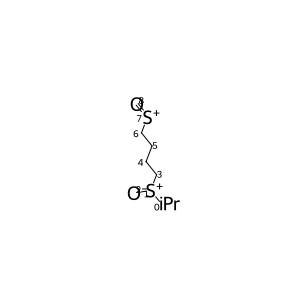 CC(C)[S+]([O-])CCCC[S+]=O